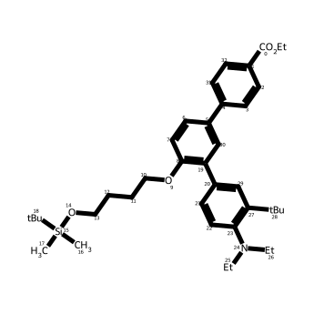 CCOC(=O)c1ccc(-c2ccc(OCCCCO[Si](C)(C)C(C)(C)C)c(-c3ccc(N(CC)CC)c(C(C)(C)C)c3)c2)cc1